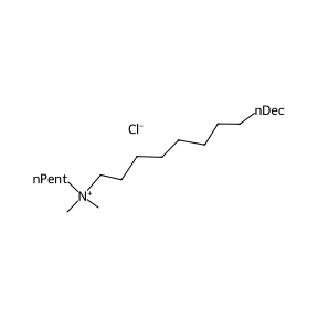 CCCCCCCCCCCCCCCCCC[N+](C)(C)CCCCC.[Cl-]